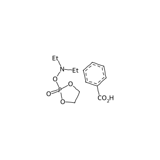 CCN(CC)OP1(=O)OCCO1.O=C(O)c1ccccc1